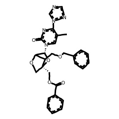 Cc1cn([C@@H]2O[C@@]3(COC(=O)c4ccccc4)COC2C3COCc2ccccc2)c(=O)nc1-n1cncn1